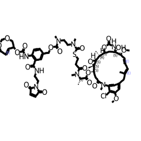 COc1cc2cc(c1Cl)N(C)C(=O)C[C@H](OC(=O)[C@H](C)N(C)C(=O)CCSC(=O)N(C)CCN(C)C(=O)OCc1ccc(NC(=O)OC3/C=C/COCOC3)c(C(=O)NCCN3C(=O)C=CC3=O)c1)[C@]1(C)O[C@H]1[C@H](C)[C@@H]1C[C@@](O)(NC(=O)O1)[C@H](OC)/C=C/C=C(\C)C2